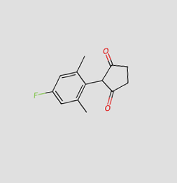 Cc1cc(F)cc(C)c1C1C(=O)CCC1=O